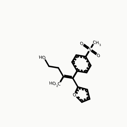 CS(=O)(=O)c1ccc(C(=C(CCO)C(=O)O)c2ccco2)cc1